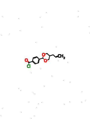 C=CCC1COC(c2ccc(C(=O)Cl)cc2)OC1